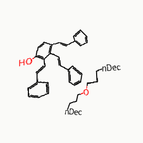 CCCCCCCCCCCCCOCCCCCCCCCCCCC.Oc1ccc(C=Cc2ccccc2)c(C=Cc2ccccc2)c1C=Cc1ccccc1